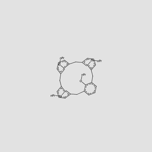 CCCOc1c2cccc1Cc1cccc(c1OCCC)Cc1cccc(c1OCCC)Cc1cccc(c1OCCC)C2